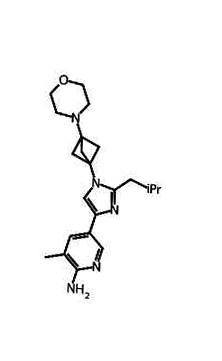 Cc1cc(-c2cn(C34CC(N5CCOCC5)(C3)C4)c(CC(C)C)n2)cnc1N